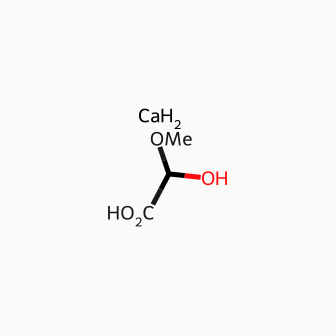 COC(O)C(=O)O.[CaH2]